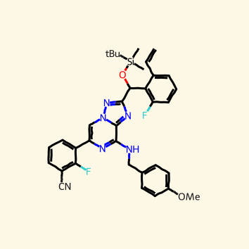 C=Cc1cccc(F)c1C(O[Si](C)(C)C(C)(C)C)c1nc2c(NCc3ccc(OC)cc3)nc(-c3cccc(C#N)c3F)cn2n1